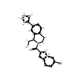 O=C(c1cc2ccc(Br)cn2n1)N1CCc2ccc(-c3nn[nH]n3)cc2C1CI